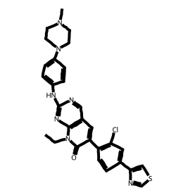 CCn1c(=O)c(-c2ccc(-c3cscn3)cc2Cl)cc2cnc(Nc3ccc(N4CCN(C)CC4)cc3)nc21